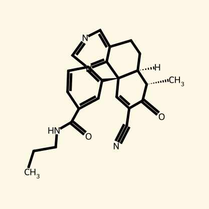 CCCNC(=O)c1cccc([C@]23C=C(C#N)C(=O)[C@@H](C)[C@@H]2CCc2cncnc23)c1